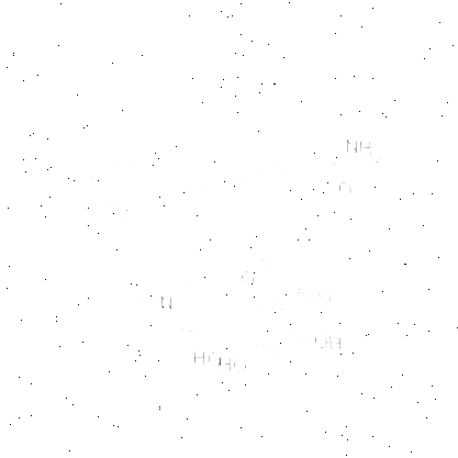 CC1=C(/C=C/C(C)=C/C=C/C(C)=C/C(N)=O)C(C)(C)CCC1.Cc1cc(=O)c2c(O)cc(O)c([C@H]3CCN(C)C[C@H]3O)c2o1